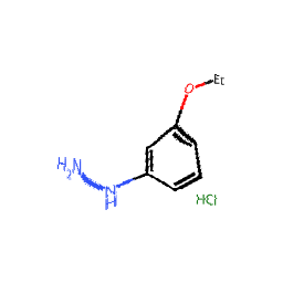 CCOc1cccc(NN)c1.Cl